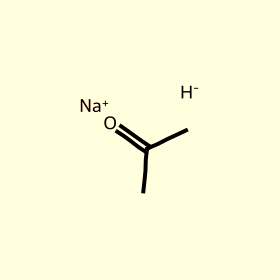 CC(C)=O.[H-].[Na+]